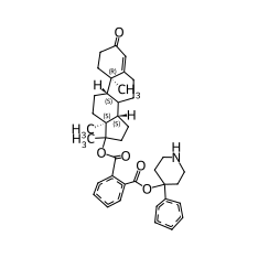 CC1(OC(=O)c2ccccc2C(=O)OC2(c3ccccc3)CCNCC2)CC[C@H]2C3CCC4=CC(=O)CC[C@]4(C)[C@H]3CC[C@@]21C